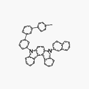 Cc1ccc(-c2cccc(-c3cccc(-n4c5ccccc5c5c6c7ccccc7n(-c7ccc8ccccc8c7)c6ccc54)c3)c2)cc1